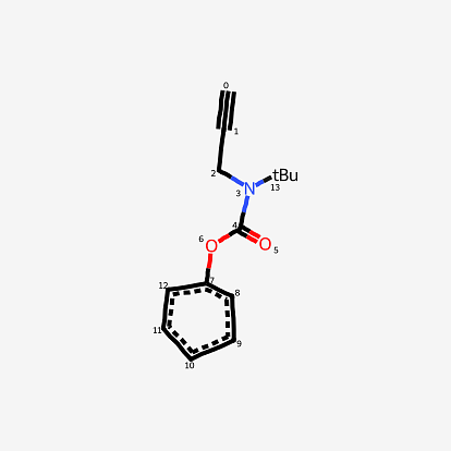 C#CCN(C(=O)Oc1ccccc1)C(C)(C)C